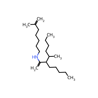 C=C(C)CCCCCNC(=C)C(CCCCC)C(C)CCCC